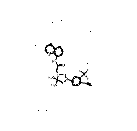 CC1(C)ON(c2ccc(C#N)c(C(F)(F)F)c2)ON1CC(=O)Nc1cccc2cccnc12